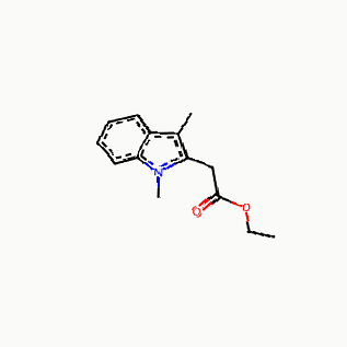 CCOC(=O)Cc1c(C)c2ccccc2n1C